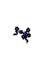 C=C/C=C\c1cc2ccccc2n1-c1ccc(-c2nc(-c3ccccc3)c3c(n2)C(C/C=C\C=C/C)(c2ccccc2)c2ccccc2-3)cc1